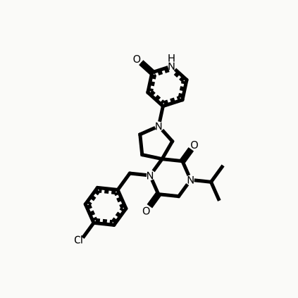 CC(C)N1CC(=O)N(Cc2ccc(Cl)cc2)C2(CCN(c3cc[nH]c(=O)c3)C2)C1=O